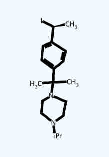 CC(C)N1CCN(C(C)(C)c2ccc([C@H](C)I)cc2)CC1